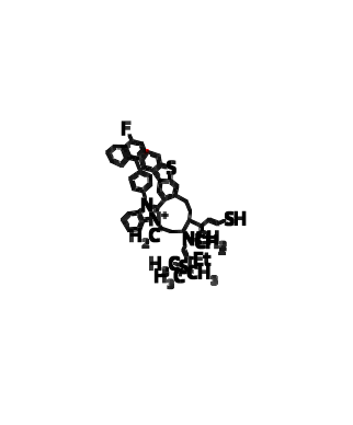 C=C(/C=C/S)C1CCc2cc3sc4ccc(-c5ccccc5)cc4c3cc2-c2n(-c3ccc(-c4ccc(F)cc4)cc3)c3ccccc3[n+]2C(=C)CC1[N+](=C)/C=C(\CC)[Si](C)(C)C